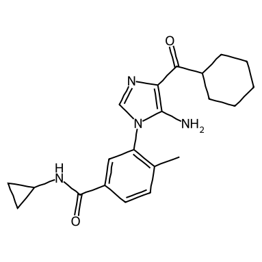 Cc1ccc(C(=O)NC2CC2)cc1-n1cnc(C(=O)C2CCCCC2)c1N